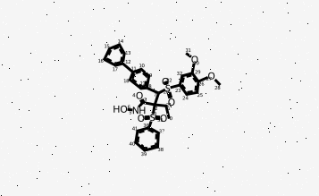 CCC(C(=O)NO)(C(c1ccc(-c2ccccc2)cc1)S(=O)(=O)c1ccc(OC)c(OC)c1)S(=O)(=O)c1ccccc1